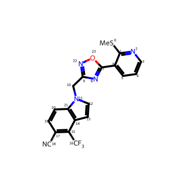 CSc1ncccc1-c1nc(Cn2ccc3c(C(F)(F)F)c(C#N)ccc32)no1